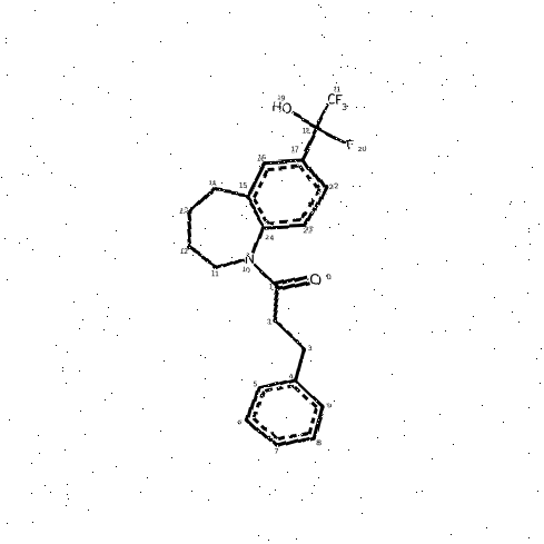 O=C(CCc1ccccc1)N1CCCCc2cc(C(O)(F)C(F)(F)F)ccc21